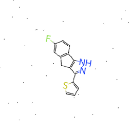 Fc1ccc2c(c1)Cc1c(-c3cccs3)n[nH]c1-2